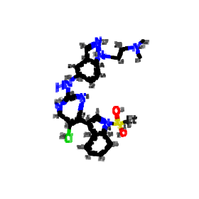 CCS(=O)(=O)n1cc(-c2nc(Nc3ccc4c(cnn4CCN(C)C)c3)ncc2Cl)c2ccccc21